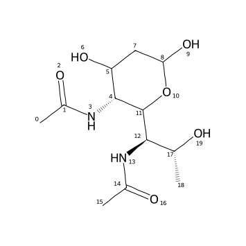 CC(=O)N[C@@H]1C(O)CC(O)OC1[C@H](NC(C)=O)[C@@H](C)O